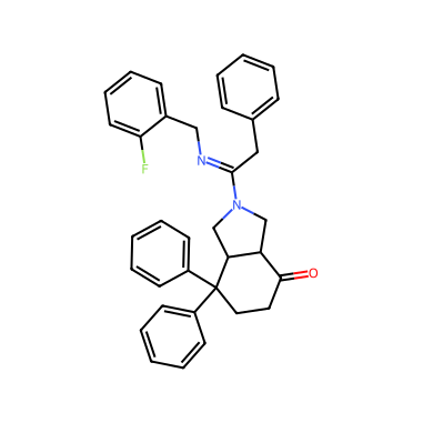 O=C1CCC(c2ccccc2)(c2ccccc2)C2CN(C(Cc3ccccc3)=NCc3ccccc3F)CC12